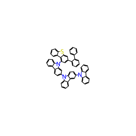 c1ccc(-c2ccccc2-c2cc(-n3c4ccccc4c4ccc(-n5c6ccccc6c6cc(-n7c8ccccc8c8ccccc87)ccc65)cc43)c3c(c2)sc2ccccc23)cc1